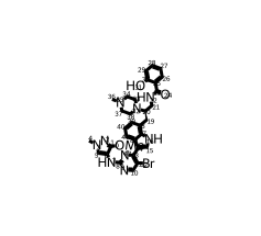 COc1nn(C)cc1Nc1ncc(Br)c(-c2c[nH]c3c(C[C@H](CNC(=O)c4ccccc4O)N4CCN(C)CC4)cccc23)n1